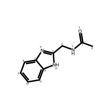 CC(=O)NCc1nc2ccccc2[nH]1